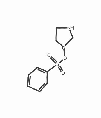 O=S(=O)(ON1CCNC1)c1ccccc1